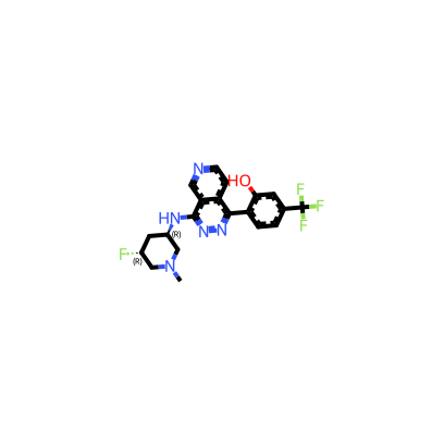 CN1C[C@H](F)C[C@@H](Nc2nnc(-c3ccc(C(F)(F)F)cc3O)c3ccncc23)C1